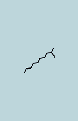 C/C=C/CCCCCC(C)I